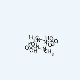 CN1CCN(Cc2occc(=O)c2O)CCN(C)CCN(Cc2occc(=O)c2O)CC1